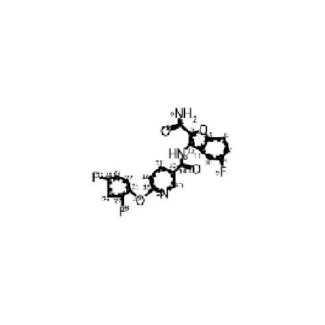 NC(=O)c1oc2ccc(F)cc2c1NC(=O)c1ccc(Oc2ccc(F)cc2F)nc1